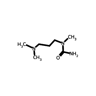 CN(C)CCCN(C)C(N)=O